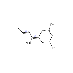 CCC1C/C(=C(/N=C/I)C(C)(C)C)CN(C(C)C)C1